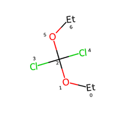 CCOC(Cl)(Cl)OCC